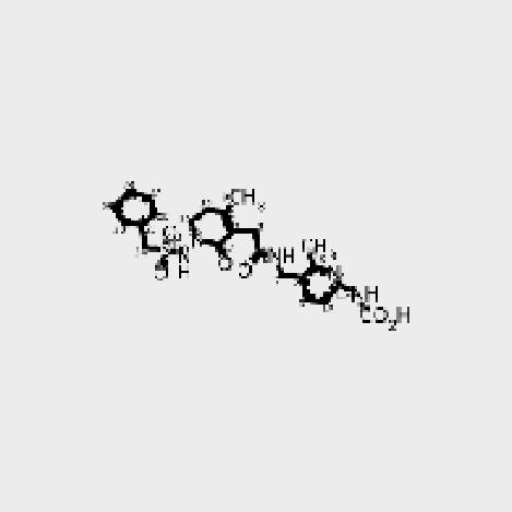 CC1=C(CC(=O)NCc2ccc(NC(=O)O)nc2C)C(=O)N(NS(=O)(=O)Cc2ccccc2)CC1